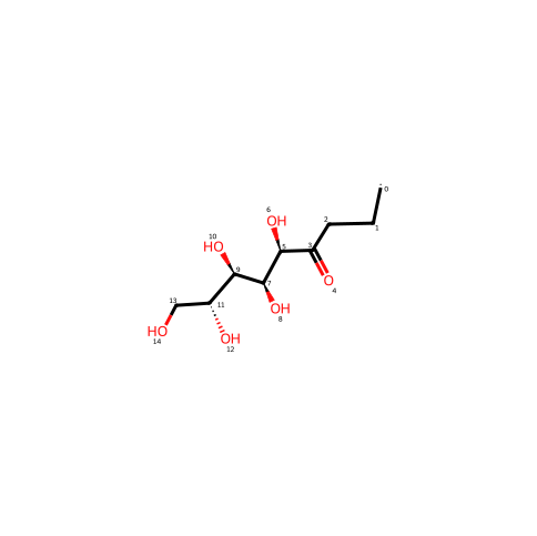 [CH2]CCC(=O)[C@H](O)[C@@H](O)[C@H](O)[C@H](O)CO